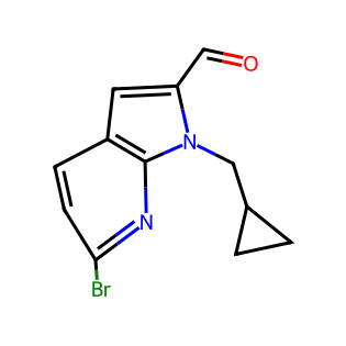 O=Cc1cc2ccc(Br)nc2n1CC1CC1